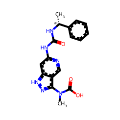 C[C@@H](NC(=O)Nc1cc2[nH]nc(N(C)C(=O)O)c2cn1)c1ccccc1